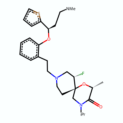 CNCC[C@@H](Oc1ccccc1CCN1CC[C@@]2(CN(C(C)C)C(=O)[C@@H](C)O2)[C@@H](F)C1)c1cccs1